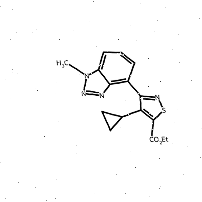 CCOC(=O)c1snc(-c2cccc3c2nnn3C)c1C1CC1